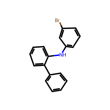 Brc1cccc(Nc2ccccc2-c2ccccc2)c1